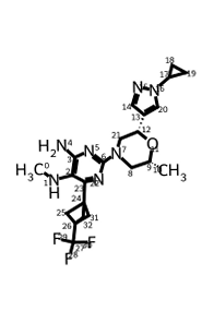 CNc1c(N)nc(N2C[C@@H](C)O[C@@H](c3cnn(C4CC4)c3)C2)nc1C12CC(C(F)(F)F)(C1)C2